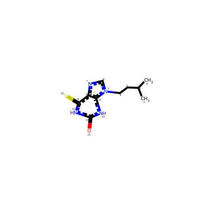 CC(C)CCn1cnc2c(=S)[nH]c(=O)[nH]c21